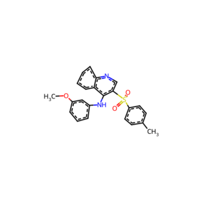 COc1cccc(Nc2c(S(=O)(=O)c3ccc(C)cc3)cnc3ccccc23)c1